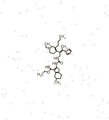 B=C(OCC)c1c(NC(=O)NC/C(C2=C(CCCC)CN(CC)CC2)=C(/C)n2cccc2)sc2c1CC(C)CC2